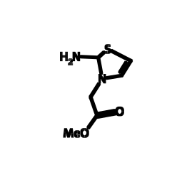 COC(=O)CN1C=CSC1N